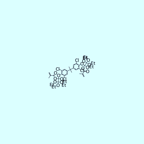 C=C(C)C(=O)OC(OCC)(Oc1c(Cl)cc(C(C)(C)c2cc(Cl)c(OC(OCC)(OC(=O)C(=C)C)C(OCC)(OCC)OCC)c(Cl)c2)cc1Cl)C(OCC)(OCC)OCC